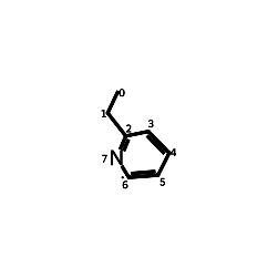 CCc1ccc[c]n1